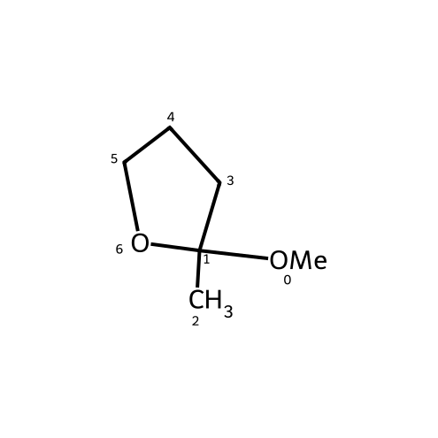 COC1(C)CCCO1